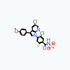 COc1ccc(-c2cn(-c3cc(F)c(C(=O)NS(C)(=O)=O)cc3Cl)c3ncc(Cl)cc23)cc1